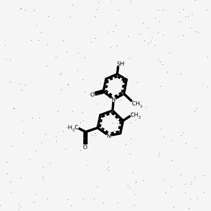 CC(=O)c1cc(-n2c(C)cc(S)cc2=O)c(C)cn1